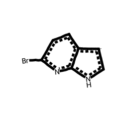 Brc1ccc2[c]c[nH]c2n1